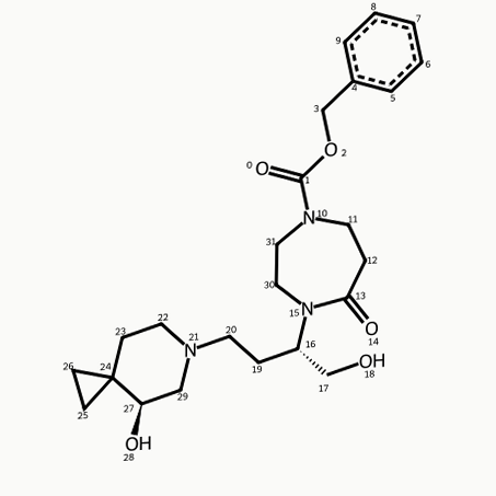 O=C(OCc1ccccc1)N1CCC(=O)N([C@H](CO)CCN2CCC3(CC3)[C@H](O)C2)CC1